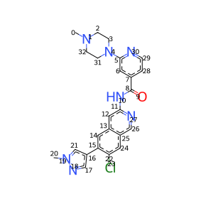 CN1CCN(c2cc(C(=O)Nc3cc4cc(-c5cnn(C)c5)c(Cl)cc4cn3)ccn2)CC1